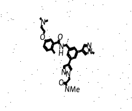 CNC(=O)Cn1cc(-c2cc(-c3cnn(C)c3)cc([C@@H](C)NC(=O)c3cc(OCCN(C)C)ccc3C)c2)cn1